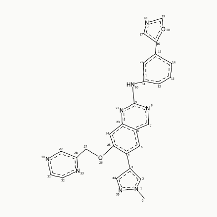 Cn1cc(-c2cc3cnc(Nc4cccc(-c5cnco5)c4)nc3cc2OCc2cnccn2)cn1